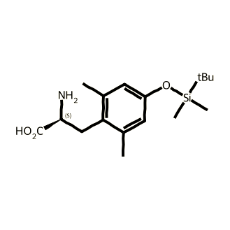 Cc1cc(O[Si](C)(C)C(C)(C)C)cc(C)c1C[C@H](N)C(=O)O